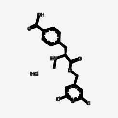 CN[C@@H](Cc1ccc(C(=O)O)cc1)C(=O)OCc1cc(Cl)nc(Cl)c1.Cl